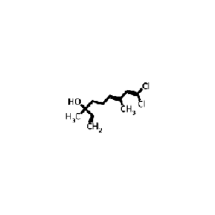 C=CC(C)(O)CC/C=C(\C)C=C(Cl)Cl